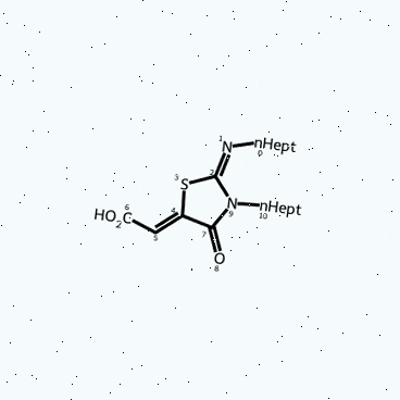 CCCCCCCN=C1SC(=CC(=O)O)C(=O)N1CCCCCCC